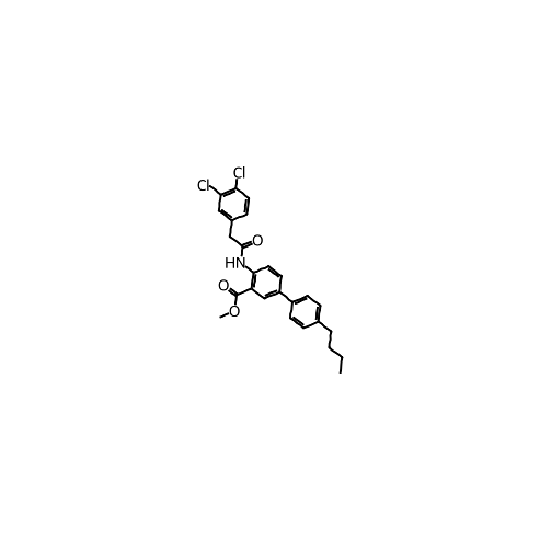 CCCCc1ccc(-c2ccc(NC(=O)Cc3ccc(Cl)c(Cl)c3)c(C(=O)OC)c2)cc1